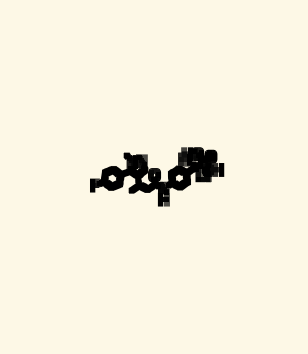 CCC(CC)(c1ccc(NC(=O)C=C(C)c2cnn(C)c2-c2ccc(F)cc2)cc1)P(=O)(O)O